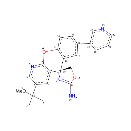 COC(C)(C)c1cnc2c(c1)[C@]1(COC(N)=N1)c1cc(-c3cccnc3)ccc1O2